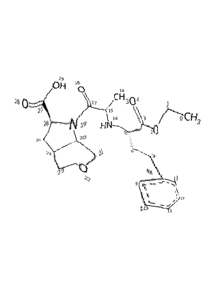 CCOC(=O)[C@H](CCc1ccccc1)NC(C)C(=O)N1C2COCC2C[C@H]1C(=O)O